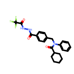 O=C(NNC(=O)C(F)(F)F)c1ccc(CN(C(=O)C2CCCCC2)c2ccccc2)cc1